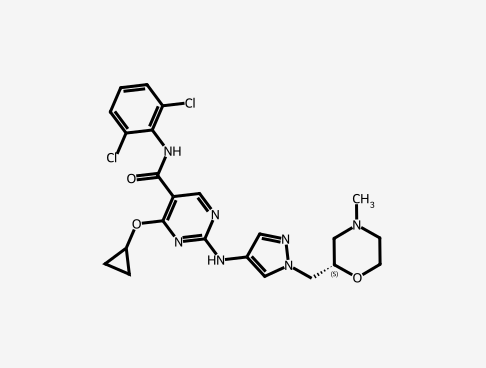 CN1CCO[C@H](Cn2cc(Nc3ncc(C(=O)Nc4c(Cl)cccc4Cl)c(OC4CC4)n3)cn2)C1